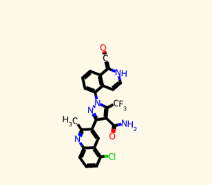 Cc1nc2cccc(Cl)c2cc1-c1nn(-c2cccc3c2C=CNC3=C=O)c(C(F)(F)F)c1C(N)=O